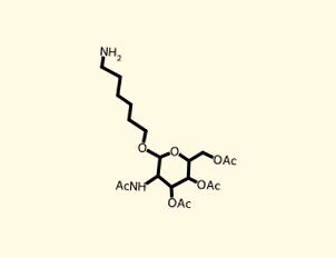 CC(=O)NC1C(OCCCCCCN)OC(COC(C)=O)C(OC(C)=O)C1OC(C)=O